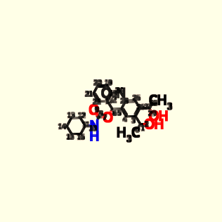 CC(O)c1cc(C(OC(=O)NC2CCCCC2)c2ccccc2)c([N+](=O)[O-])cc1C(C)O